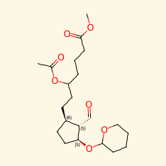 COC(=O)CCCC(CC[C@@H]1CC[C@H](OC2CCCCO2)[C@H]1C=O)OC(C)=O